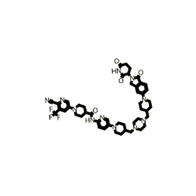 N#Cc1ncc(N2CCC(C(=O)Nc3ccc(N4CCC(CN5CCN(CC6CCN(c7ccc8c(c7)CN(C7CCC(=O)NC7=O)C8=O)CC6)CC5)CC4)cn3)CC2)cc1C(F)(F)F